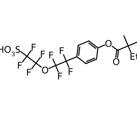 CCC(C)(C)C(=O)Oc1ccc(C(F)(F)C(F)(F)OC(F)(F)C(F)(F)S(=O)(=O)O)cc1